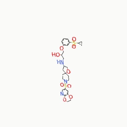 O=S(=O)(c1cccc(OCC(O)CNC2COC3(CCN(S(=O)(=O)c4cnc5c(c4)OCCO5)CC3)C2)c1)C1CC1